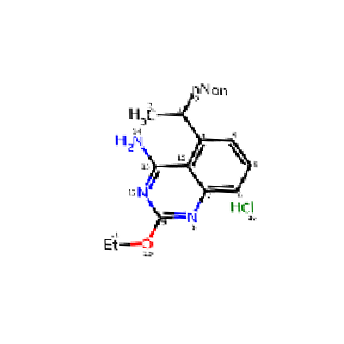 CCCCCCCCCC(C)c1cccc2nc(OCC)nc(N)c12.Cl